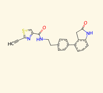 C#Cc1nc(C(=O)NCCc2ccc(-c3cccc4c3CC(=O)N4)cc2)cs1